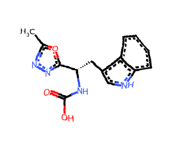 Cc1nnc([C@H](Cc2c[nH]c3ccccc23)NC(=O)O)o1